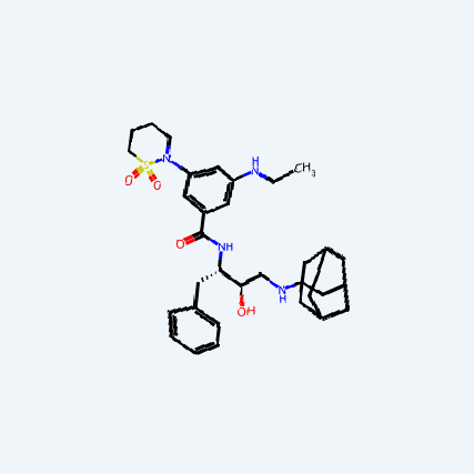 CCNc1cc(C(=O)N[C@@H](Cc2ccccc2)[C@H](O)CNC23CC4CC(CC(C4)C2)C3)cc(N2CCCCS2(=O)=O)c1